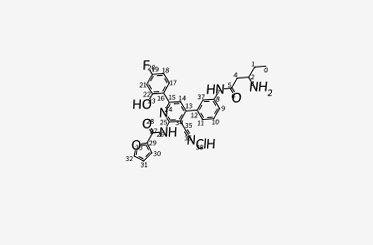 CCC(N)CC(=O)Nc1cccc(-c2cc(-c3ccc(F)cc3O)nc(NC(=O)c3ccco3)c2C#N)c1.Cl